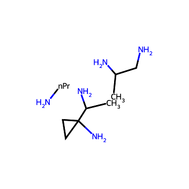 CC(N)C1(N)CC1.CC(N)CN.C[CH]CN